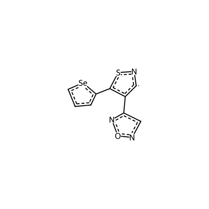 [c]1nsc(-c2ccc[se]2)c1-c1cnon1